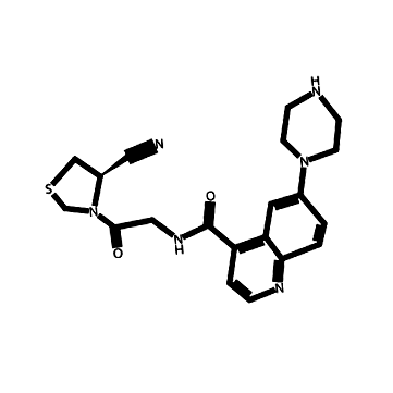 N#C[C@@H]1CSCN1C(=O)CNC(=O)c1ccnc2ccc(N3CCNCC3)cc12